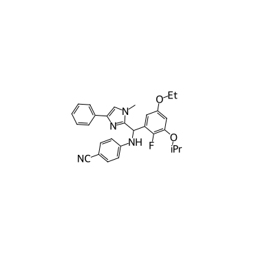 CCOc1cc(OC(C)C)c(F)c(C(Nc2ccc(C#N)cc2)c2nc(-c3ccccc3)cn2C)c1